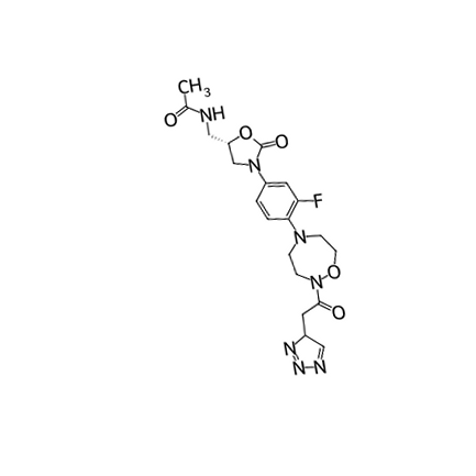 CC(=O)NC[C@H]1CN(c2ccc(N3CCON(C(=O)CC4C=NN=N4)CC3)c(F)c2)C(=O)O1